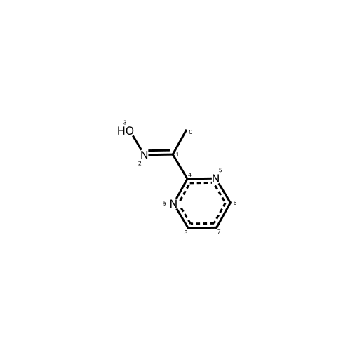 CC(=NO)c1ncccn1